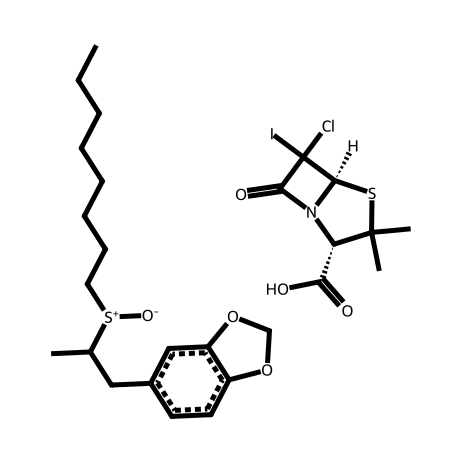 CC1(C)S[C@H]2N(C(=O)C2(Cl)I)[C@H]1C(=O)O.CCCCCCCC[S+]([O-])C(C)Cc1ccc2c(c1)OCO2